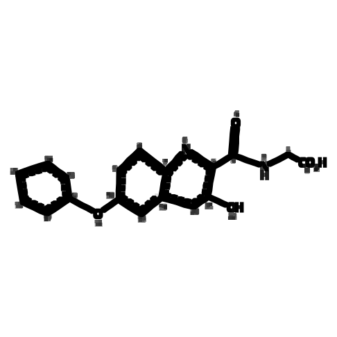 O=C(O)CNC(=O)c1nc2ccc(Oc3ccccc3)cc2cc1O